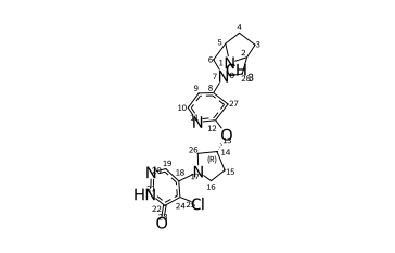 CN1C2CCC1CN(c1ccnc(O[C@@H]3CCN(c4cn[nH]c(=O)c4Cl)C3)c1)C2